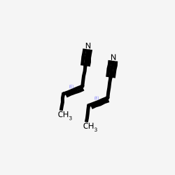 C/C=C/C#N.C/C=C/C#N